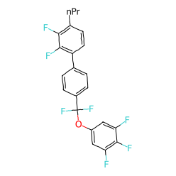 CCCc1ccc(-c2ccc(C(F)(F)Oc3cc(F)c(F)c(F)c3)cc2)c(F)c1F